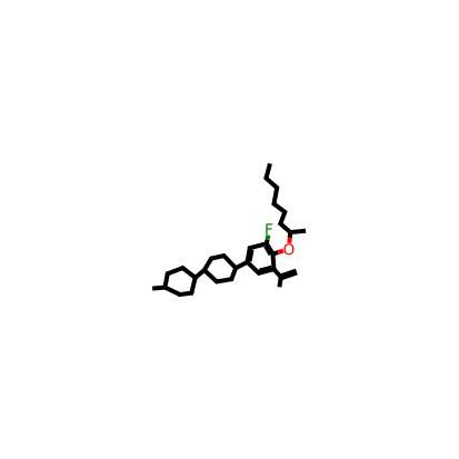 C=C(C)c1cc(C2CCC(C3CCC(C)CC3)CC2)cc(F)c1OC(C)CCCCCC